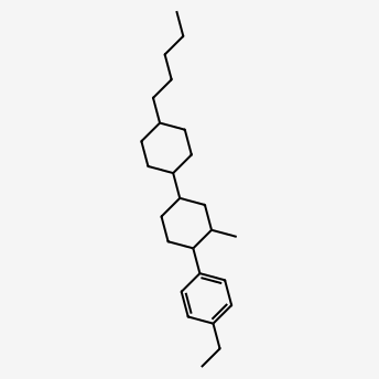 CCCCCC1CCC(C2CCC(c3ccc(CC)cc3)C(C)C2)CC1